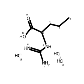 CCCC(NC(=N)N)C(=O)O.Cl.Cl.Cl